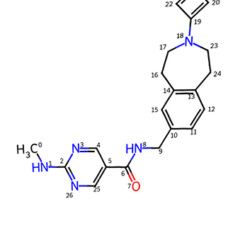 CNc1ncc(C(=O)NCc2ccc3c(c2)CCN(C2=CC=C2)CC3)cn1